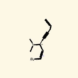 C=CC#C[C@@H](/C=C\C(C)CC)N(C)C